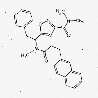 CN(C)C(=O)c1noc(C(Cc2ccccc2)N(C)C(=O)CCc2ccc3ccccc3c2)n1